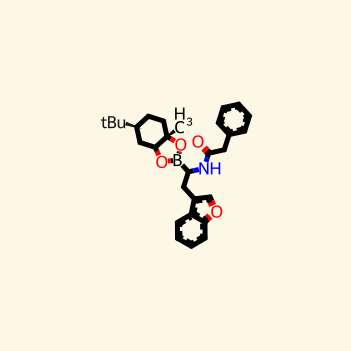 CC(C)(C)[C@H]1CC[C@]2(C)OB(C(Cc3coc4ccccc34)NC(=O)Cc3ccccc3)OC2C1